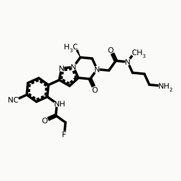 C[C@H]1CN(CC(=O)N(C)CCCN)C(=O)c2cc(-c3ccc(C#N)cc3NC(=O)CF)nn21